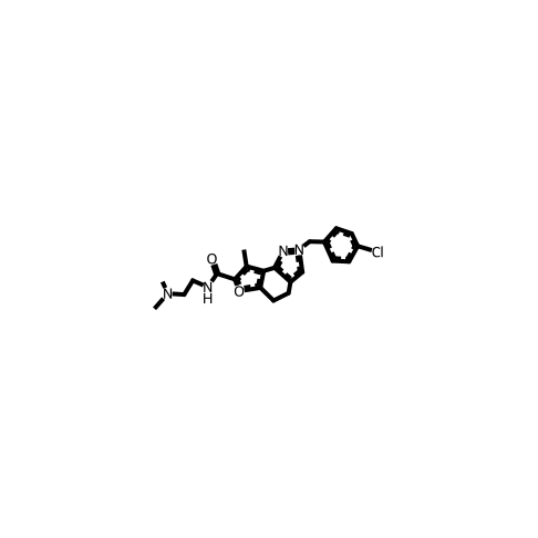 Cc1c(C(=O)NCCN(C)C)oc2c1-c1nn(Cc3ccc(Cl)cc3)cc1CC2